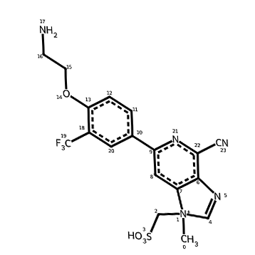 C[N+]1(CS(=O)(=O)O)C=Nc2c1cc(-c1ccc(OCCN)c(C(F)(F)F)c1)nc2C#N